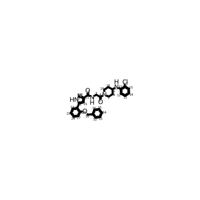 O=C(NCC(=O)N1CCC(Nc2ccccc2Cl)CC1)c1cc(-c2ccccc2OCc2ccccc2)[nH]n1